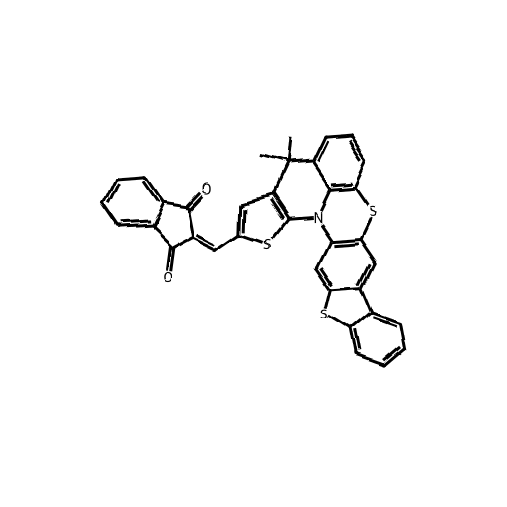 CC1(C)c2cc(C=C3C(=O)c4ccccc4C3=O)sc2N2c3cc4sc5ccccc5c4cc3Sc3cccc1c32